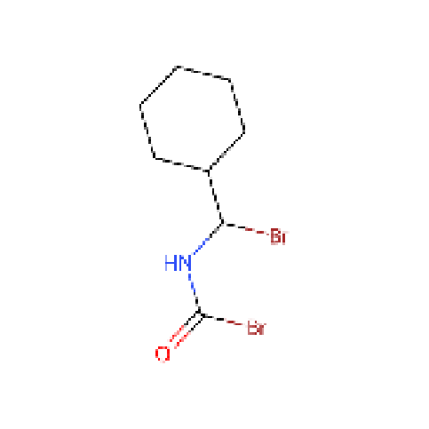 O=C(Br)NC(Br)C1CCCCC1